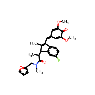 COC1=CC(=CC2=C(C)C(C(C)C(=O)N(C)Cc3ccco3)c3cc(F)ccc32)C=C(OC)C1=O